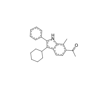 CC(=O)c1ccc2c(C3CCCCC3)c(-c3ccccc3)[nH]c2c1C